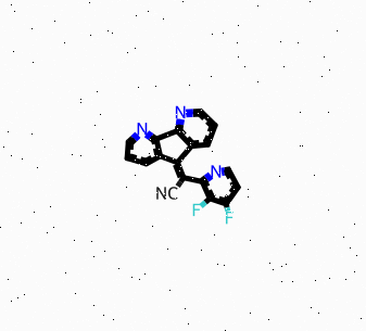 N#CC(=C1c2cccnc2-c2ncccc21)c1nccc(F)c1F